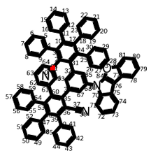 N#Cc1c(-c2ccccc2)c(-c2ccccc2)c(-c2ccccc2)c(-c2ccccc2)c1-c1cc(-c2c(C#N)c(-c3ccccc3)c(-c3ccccc3)c(-c3ccccc3)c2-c2ccccc2)cc(-n2c3ccccc3c3c4ccccc4oc32)c1